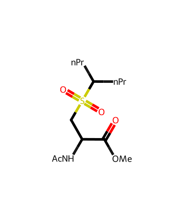 CCCC(CCC)S(=O)(=O)CC(NC(C)=O)C(=O)OC